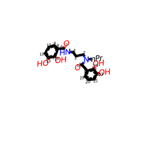 CCCN(CCCNC(=O)c1cccc(O)c1O)C(=O)c1cccc(O)c1O